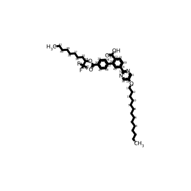 CCCCCCCCCCCCCCOc1cnc(-c2ccc(C(=O)O)c(-c3ccc(C(=O)OC(CCCCCCCC)C(F)(F)F)cc3)c2)nc1